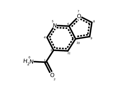 NC(=O)c1cnc2occc2c1